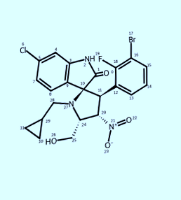 O=C1Nc2cc(Cl)ccc2[C@@]12[C@@H](c1cccc(Br)c1F)[C@H]([N+](=O)[O-])[C@H](CO)N2CC1CC1